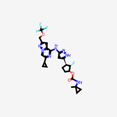 CC1(NC(=O)O[C@H]2CC[C@@H](c3cc(Nc4nc(C5CC5)cn5nc(COC(F)(F)F)cc45)n[nH]3)[C@@H]2F)CC1